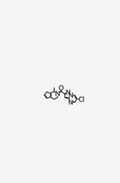 CC1C2=C(C=CC2)CCN1C(=O)c1cc2ncc(Cl)cn2n1